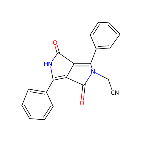 N#CCN1C(=O)C2=C(c3ccccc3)NC(=O)C2=C1c1ccccc1